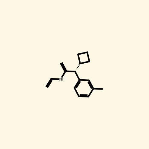 C=CNC(=C)[C@@H](c1cccc(C)c1)C1CCC1